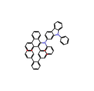 c1ccc(-c2ccccc2-c2cccc(-c3c(N(c4ccccc4)c4ccc5c6ccccc6n(-c6ccccc6)c5c4)c4ccccc4c4ccccc34)c2)cc1